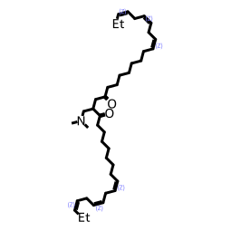 CC/C=C\C/C=C\C/C=C\CCCCCCCC(=O)CC(CN(C)C)C(=O)CCCCCCC/C=C\C/C=C\C/C=C\CC